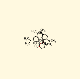 C=C1CCCC(C)(C)P1c1c(OC)ccc(OC)c1-c1c(C(C)C)cc(C(C)C)cc1C(C)C